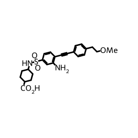 COCCc1ccc(C#Cc2ccc(S(=O)(=O)NC3CCC(C(=O)O)CC3)cc2N)cc1